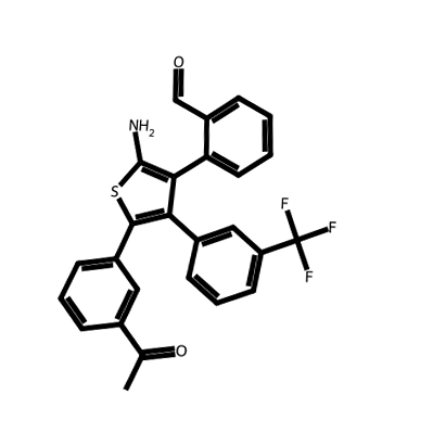 CC(=O)c1cccc(-c2sc(N)c(-c3ccccc3C=O)c2-c2cccc(C(F)(F)F)c2)c1